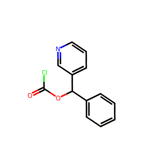 O=C(Cl)OC(c1ccccc1)c1cccnc1